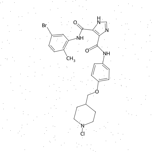 Cc1ccc(Br)cc1NC(=O)c1[nH]cnc1C(=O)Nc1ccc(OCC2CCN(Cl)CC2)cc1